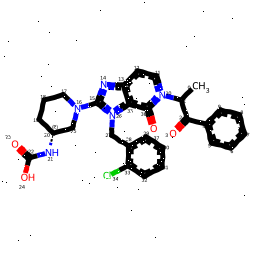 CC(C(=O)c1ccccc1)n1ccc2nc(N3CCC[C@@H](NC(=O)O)C3)n(Cc3ccccc3Cl)c2c1=O